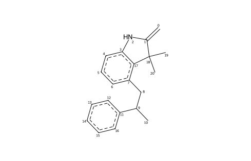 C=C1Nc2cccc(CC(C)c3ccccc3)c2C1(C)C